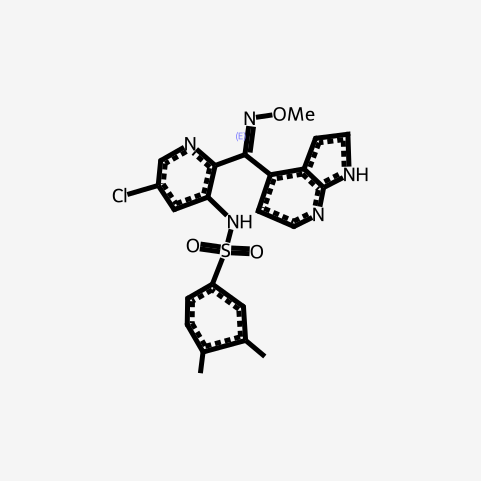 CO/N=C(/c1ncc(Cl)cc1NS(=O)(=O)c1ccc(C)c(C)c1)c1ccnc2[nH]ccc12